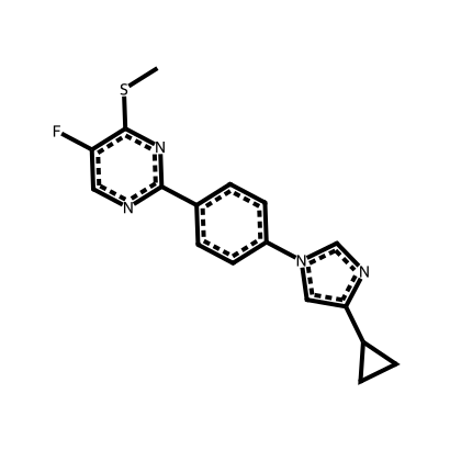 CSc1nc(-c2ccc(-n3cnc(C4CC4)c3)cc2)ncc1F